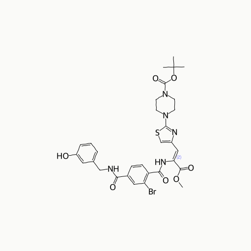 COC(=O)/C(=C/c1csc(N2CCN(C(=O)OC(C)(C)C)CC2)n1)NC(=O)c1ccc(C(=O)NCc2cccc(O)c2)cc1Br